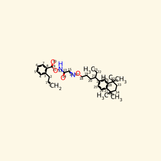 C=CCc1ccccc1C(=O)ONC(=O)C=NOCCCC(CC)c1ccc2c(c1)C(C)(C)CCC2(C)C